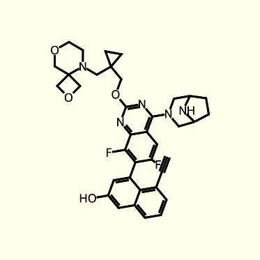 C#Cc1cccc2cc(O)cc(-c3c(F)cc4c(N5CC6CCC(C5)N6)nc(OCC5(CN6CCOCC67COC7)CC5)nc4c3F)c12